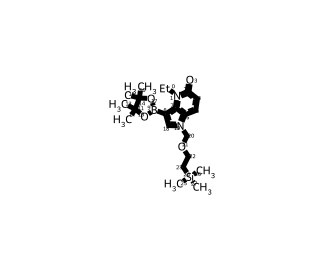 CCn1c(=O)ccc2c1c(B1OC(C)(C)C(C)(C)O1)cn2COCC[Si](C)(C)C